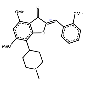 COc1ccccc1/C=C1\Oc2c(c(OC)cc(OC)c2C2CCN(C)CC2)C1=O